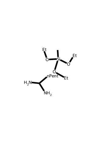 CCCCCC(N)N.CCO[Si](C)(OCC)OCC